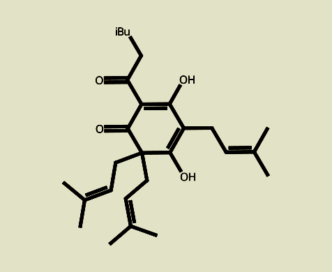 CCC(C)CC(=O)C1=C(O)C(CC=C(C)C)=C(O)C(CC=C(C)C)(CC=C(C)C)C1=O